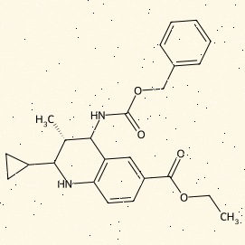 CCOC(=O)c1ccc2c(c1)C(NC(=O)OCc1ccccc1)[C@@H](C)C(C1CC1)N2